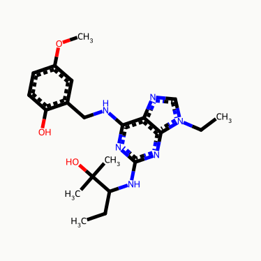 CCC(Nc1nc(NCc2cc(OC)ccc2O)c2ncn(CC)c2n1)C(C)(C)O